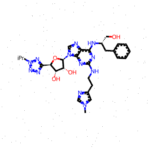 CC(C)n1nnc([C@H]2O[C@@H](n3cnc4c(N[C@H](CO)Cc5ccccc5)nc(NCCc5cn(C)cn5)nc43)[C@H](O)[C@@H]2O)n1